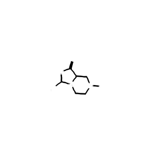 CCN1CCN2C(C)OC(=O)C2C1